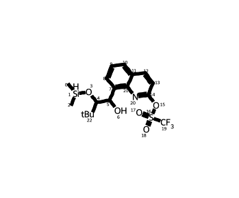 C[SiH](C)OC(C(O)c1cccc2ccc(OS(=O)(=O)C(F)(F)F)nc12)C(C)(C)C